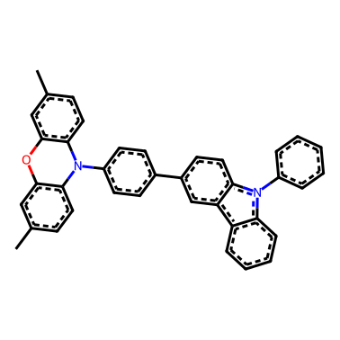 Cc1ccc2c(c1)Oc1cc(C)ccc1N2c1ccc(-c2ccc3c(c2)c2ccccc2n3-c2ccccc2)cc1